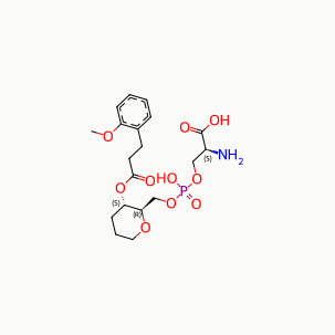 COc1ccccc1CCC(=O)O[C@H]1CCCO[C@@H]1COP(=O)(O)OC[C@H](N)C(=O)O